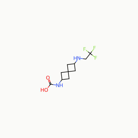 O=C(O)NC1CC2(CC(NCC(F)(F)F)C2)C1